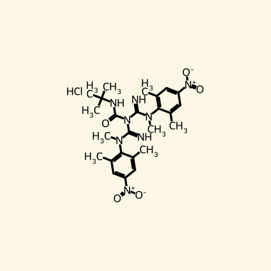 Cc1cc([N+](=O)[O-])cc(C)c1N(C)C(=N)N(C(=N)N(C)c1c(C)cc([N+](=O)[O-])cc1C)C(=O)NC(C)(C)C.Cl